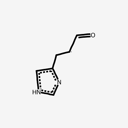 O=C[CH]Cc1c[nH]cn1